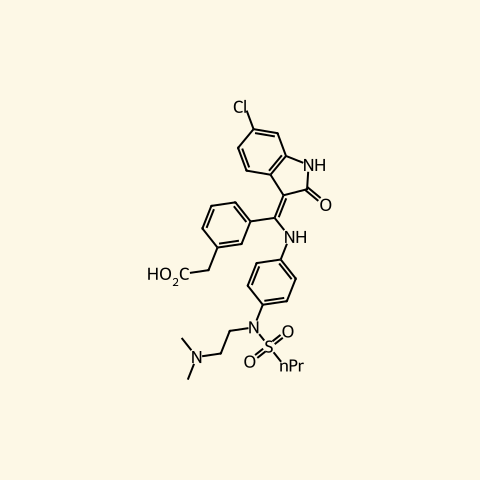 CCCS(=O)(=O)N(CCN(C)C)c1ccc(N/C(=C2\C(=O)Nc3cc(Cl)ccc32)c2cccc(CC(=O)O)c2)cc1